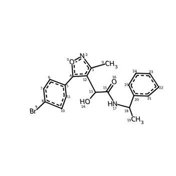 Cc1noc(-c2ccc(Br)cc2)c1C(O)C(=O)NC(C)c1ccccc1